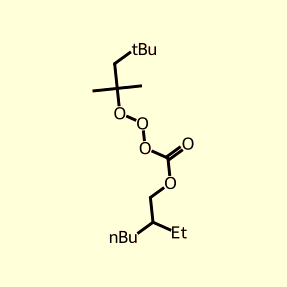 CCCCC(CC)COC(=O)OOOC(C)(C)CC(C)(C)C